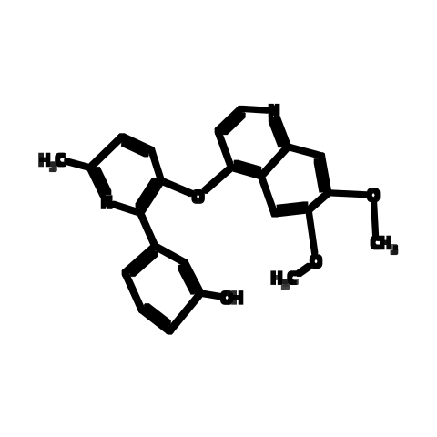 COc1cc2nccc(Oc3ccc(C)nc3-c3cccc(O)c3)c2cc1OC